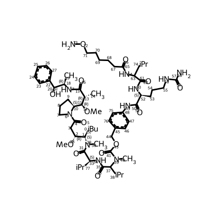 CC[C@H](C)[C@@H]([C@@H](CC(=O)N1CCC[C@H]1[C@H](OC)[C@@H](C)C(=O)N[C@H](C)[C@@H](O)c1ccccc1)OC)N(C)C(=O)[C@@H](NC(=O)C(C(C)C)N(C)C(=O)OCc1ccc(NC(=O)[C@H](CCCNC(N)=O)NC(=O)C(NC(=O)CCCCCON)C(C)C)cc1)C(C)C